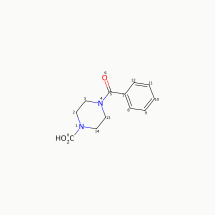 O=C(O)N1CCN(C(=O)c2ccccc2)CC1